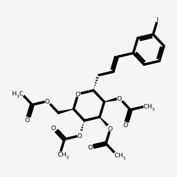 CC(=O)OC[C@H]1O[C@H](CC=Cc2cccc(I)c2)[C@@H](OC(C)=O)[C@@H](OC(C)=O)[C@@H]1OC(C)=O